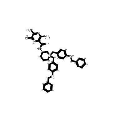 Nc1nc(N)c(C(=O)N[C@H]2CCC[N+](Cc3ccc(OCc4ccccc4)cc3)(Cc3ccc(OCc4ccccc4)cc3)C2)nc1Cl